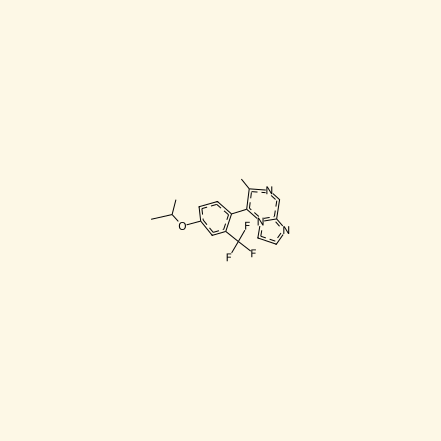 Cc1ncc2nccn2c1-c1ccc(OC(C)C)cc1C(F)(F)F